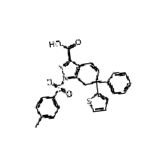 Cc1ccc(S(=O)(=O)n2nc(C(=O)O)c3c2CC(c2ccccc2)(c2cccs2)C=C3)cc1